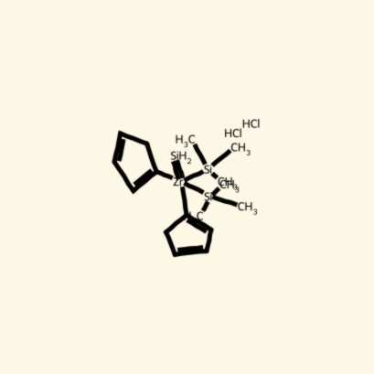 C[Si](C)(C)[Zr](=[SiH2])([C]1=CC=CC1)([C]1=CC=CC1)[Si](C)(C)C.Cl.Cl